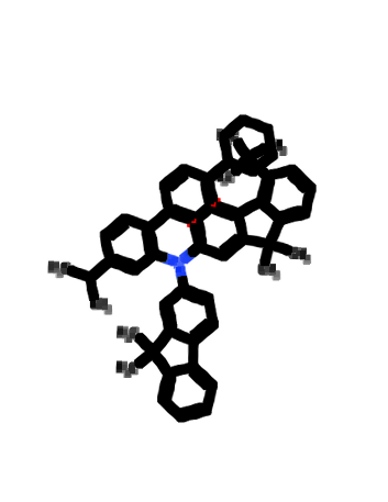 CC(C)c1ccc(-c2ccc(C3CCCCC3)cc2)c(N(c2ccc3c(c2)C(C)(C)c2ccccc2-3)c2ccc3c(c2)C(C)(C)c2cccc(C(C)(C)C)c2-3)c1